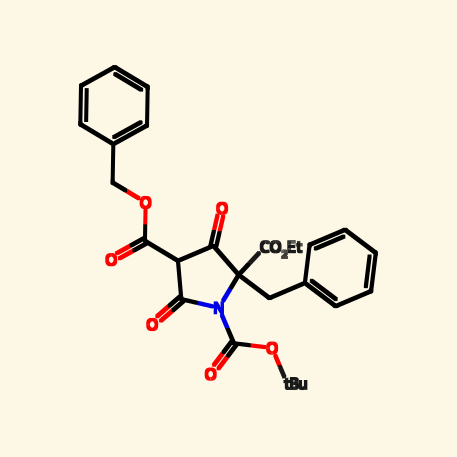 CCOC(=O)C1(Cc2ccccc2)C(=O)C(C(=O)OCc2ccccc2)C(=O)N1C(=O)OC(C)(C)C